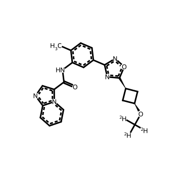 [2H]C([2H])([2H])O[C@H]1C[C@@H](c2nc(-c3ccc(C)c(NC(=O)c4cnc5ccccn45)c3)no2)C1